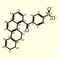 O=C(c1ccc([N+](=O)[O-])cc1)c1cccc2ccc3c(c12)CCC1=C3C=CCC1